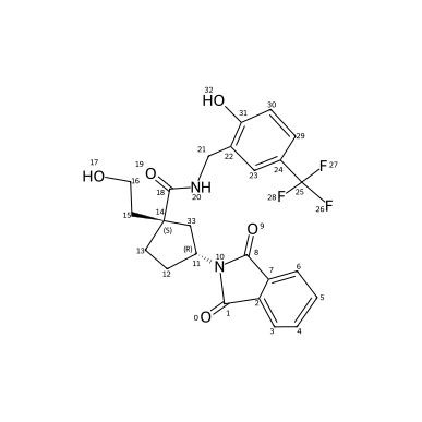 O=C1c2ccccc2C(=O)N1[C@@H]1CC[C@](CCO)(C(=O)NCc2cc(C(F)(F)F)ccc2O)C1